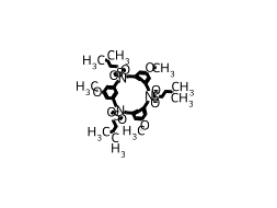 COc1cc2cc(c1)CN(S(=O)(=O)CCC(C)C)Cc1cc(cc(OC)c1)CN(S(=O)(=O)CCC(C)C)Cc1cc(cc(OC)c1)CN(S(=O)(=O)CCC(C)C)C2